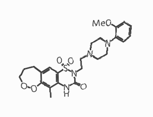 COc1ccccc1N1CCN(CCN2C(=O)Nc3c(cc4c(c3C)OOCCC4)S2(=O)=O)CC1